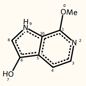 COc1nccc2c(O)c[nH]c12